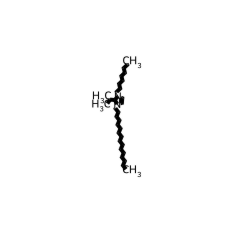 CCCCCCCCCCCCCCCCN1C=CN(CCCCCCCCC)C1C(C)C